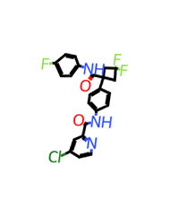 O=C(Nc1ccc(C2(C(=O)Nc3ccc(F)cc3)CC(F)(F)C2)cc1)c1cc(Cl)ccn1